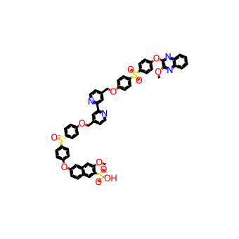 COc1cc2cc(Oc3ccc([S+]([O-])c4ccc(OCc5ccnc(-c6cc(COc7ccc(S(=O)(=O)c8ccc(Oc9nc%10ccccc%10nc9OC)cc8)cc7)ccn6)c5)cc4)cc3)ccc2cc1S(=O)(=O)O